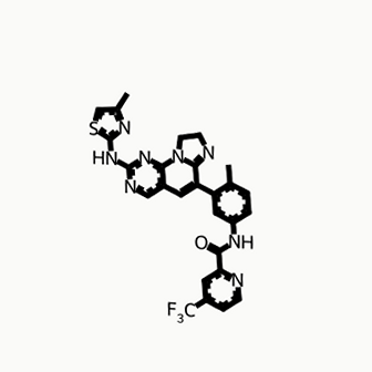 Cc1csc(Nc2ncc3c(n2)N2CCN=C2C(c2cc(NC(=O)c4cc(C(F)(F)F)ccn4)ccc2C)=C3)n1